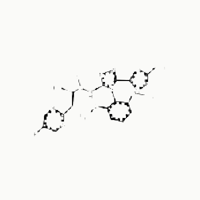 COc1cccc(OC)c1-n1c(N[S+]([O-])[C@H](C)Cc2ncc(F)cn2)nnc1-c1nnc(C)o1